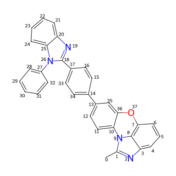 Cc1nc2cccc3c2n1-c1ccc(-c2ccc(-c4nc5ccccc5n4-c4ccccc4)cc2)cc1O3